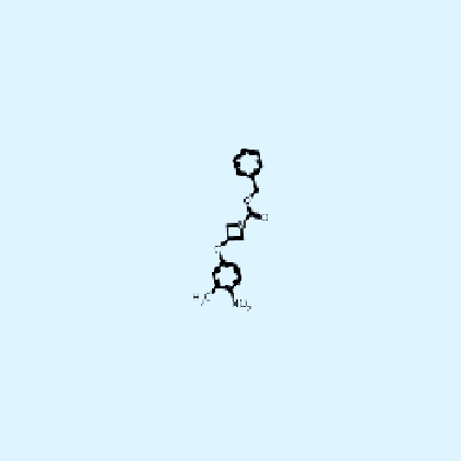 Cc1cc(OC2CN(C(=O)OCc3ccccc3)C2)ccc1[N+](=O)[O-]